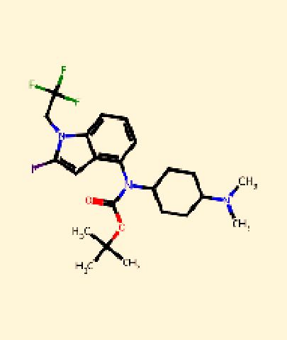 CN(C)C1CCC(N(C(=O)OC(C)(C)C)c2cccc3c2cc(I)n3CC(F)(F)F)CC1